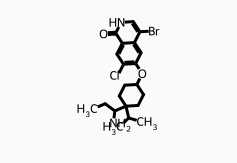 CCC(N)C1(C(C)C)CCC(Oc2cc3c(Br)c[nH]c(=O)c3cc2Cl)CC1